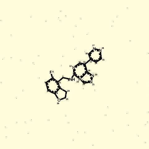 Fc1ccc2c(c1CNc1ncc(-c3ccnnc3)c3nncn13)CCO2